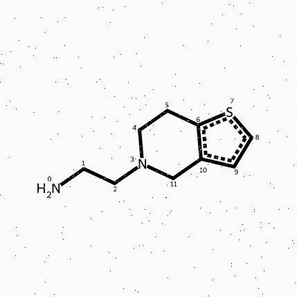 NCCN1CCc2sccc2C1